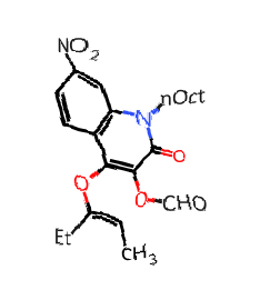 CC=C(CC)Oc1c(OC=O)c(=O)n(CCCCCCCC)c2cc([N+](=O)[O-])ccc12